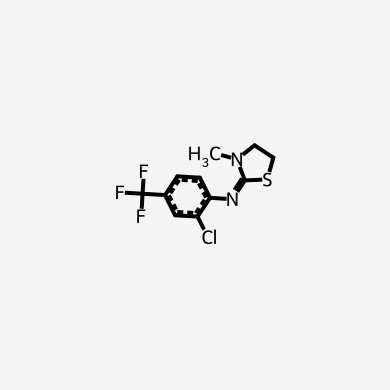 CN1CCSC1=Nc1ccc(C(F)(F)F)cc1Cl